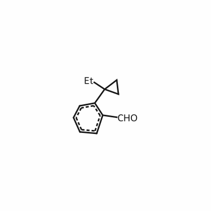 CCC1(c2ccccc2C=O)CC1